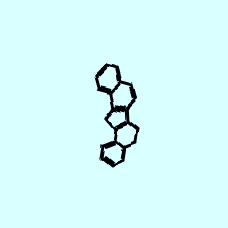 c1ccc2c(c1)CCC1=C2Cc2c1ccc1ccccc21